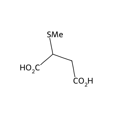 [CH2]SC(CC(=O)O)C(=O)O